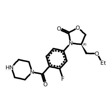 CCOC[C@@H]1COC(=O)N1c1ccc(C(=O)N2CCNCC2)c(F)c1